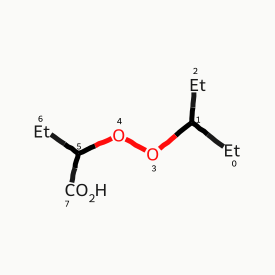 CCC(CC)OOC(CC)C(=O)O